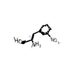 C#C/C(N)=C/c1cccc([N+](=O)[O-])c1